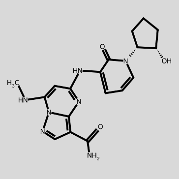 CNc1cc(Nc2cccn([C@@H]3CCC[C@@H]3O)c2=O)nc2c(C(N)=O)cnn12